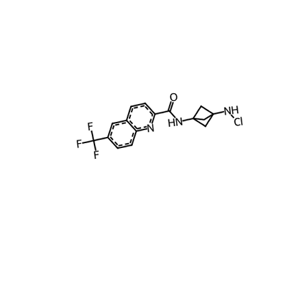 O=C(NC12CC(NCl)(C1)C2)c1ccc2cc(C(F)(F)F)ccc2n1